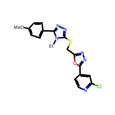 CCn1c(SCc2nnc(-c3ccnc(Cl)c3)o2)nnc1-c1ccc(OC)cc1